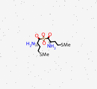 CSCC[C@H](N)C(=O)S(=O)(=O)C(=O)[C@@H](N)CCSC